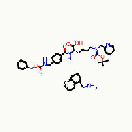 CC(C)(C)OC(=O)N(CCCC[C@H](NC(=O)c1ccc(CNC(=O)OCc2ccccc2)cc1)C(=O)O)Cc1ccccn1.NCc1cccc2ccccc12